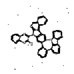 Clc1nc2ccccc2nc1-n1c2cc3c(cc2c2c4ccccc4ccc21)-n1c2ccccc2c2cccc(c21)-c1ccccc1-3